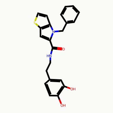 O=C(NCCc1ccc(O)c(O)c1)c1cc2sccc2n1Cc1ccccc1